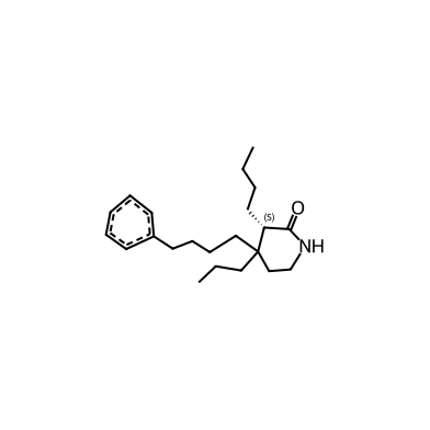 CCCC[C@@H]1C(=O)NCCC1(CCC)CCCCc1ccccc1